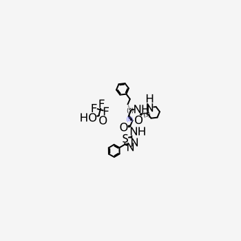 O=C(/C=C/[C@H](CCc1ccccc1)NC(=O)[C@@H]1CCCCN1)Nc1nnc(-c2ccccc2)s1.O=C(O)C(F)(F)F